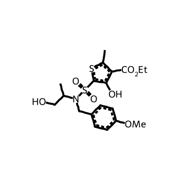 CCOC(=O)c1c(C)sc(S(=O)(=O)N(Cc2ccc(OC)cc2)C(C)CO)c1O